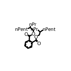 CCCCCC(CCC)COC(=O)c1ccccc1C(=O)OCC(CCC)CCCCC